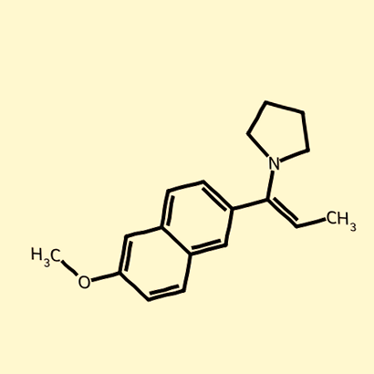 CC=C(c1ccc2cc(OC)ccc2c1)N1CCCC1